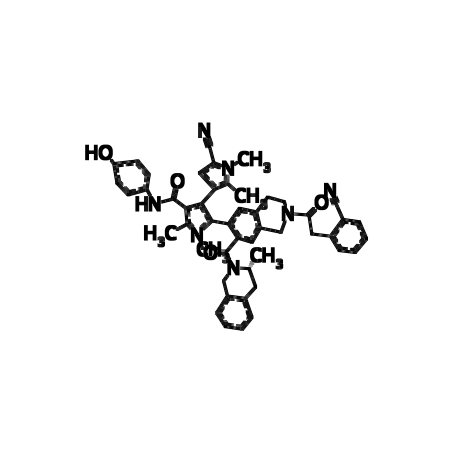 Cc1c(-c2c(C(=O)Nc3ccc(O)cc3)c(C)n(C)c2-c2cc3c(cc2C(=O)N2Cc4ccccc4C[C@H]2C)CN(C(=O)Cc2ccccc2C#N)CC3)cc(C#N)n1C